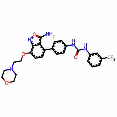 Nc1onc2c(OCCN3CCOCC3)ccc(-c3ccc(NC(=O)Nc4cccc(C(F)(F)F)c4)cc3)c12